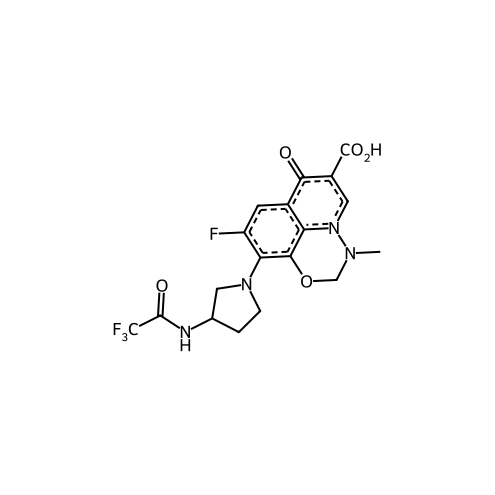 CN1COc2c(N3CCC(NC(=O)C(F)(F)F)C3)c(F)cc3c(=O)c(C(=O)O)cn1c23